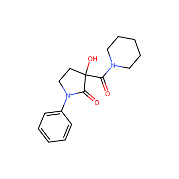 O=C(N1CCCCC1)C1(O)CCN(c2ccccc2)C1=O